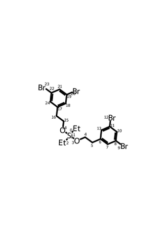 CC[Si](CC)(OCCc1cc(Br)cc(Br)c1)OCCc1cc(Br)cc(Br)c1